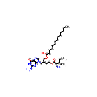 CCCCCCCCCCCCCC(O)OCC(CCOC(=O)[C@@H](N)[C@@H](C)CC)Cn1cnc2c(=O)[nH]c(N)nc21